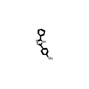 CC(C)(C)c1ccc(-c2nnc(-c3ccccc3)[nH]2)cc1